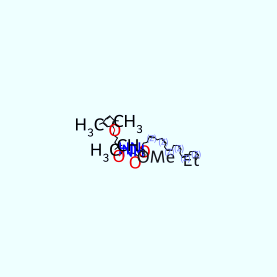 CC/C=C\C/C=C\C/C=C\C/C=C\C/C=C\C/C=C\CCC(=O)NC(CNC(=O)C(C)(C)CCCOc1cc(C)ccc1C)C(=O)OC